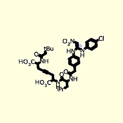 CC(C)CC(NC(=O)Cc1ccc(N/C(=C\[N+](=O)[O-])Nc2ccc(Cl)cc2)cc1)C(=O)NC(CC#CCC(NC(=O)CC(C)(C)C)C(=O)O)C(=O)O